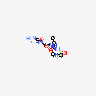 Cc1ccc(C(=O)N[C@@H](Cc2ccc(-c3ccccc3)cc2)C(=O)NC(C)(C)COC(C)(C)CCNC(=O)c2ccc(N)cc2)cc1NCc1c(F)ccc(O)c1F